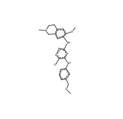 COCc1cccc(Nc2nc(Nc3cc4c(cc3OC)CCN(C)C4)nnc2Cl)c1